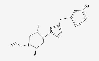 C=CCN1C[C@H](C)N(c2cc(Cc3cccc(O)c3)cs2)C[C@H]1C